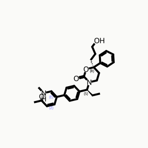 CC[C@@H](c1ccc(C(/C=C\C(C)=O)=C/NC)cc1)N1CC[C@](CCCO)(c2ccccc2)OC1=O